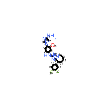 COc1cc(Nc2nc3n(n2)CCCC[C@@H]3c2ccc(F)c(F)c2)ccc1-n1cnc(N)c1